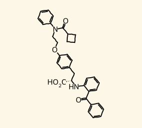 O=C(c1ccccc1)c1ccccc1N[C@@H](Cc1ccc(OCCN(C(=O)C2CCC2)c2ccccc2)cc1)C(=O)O